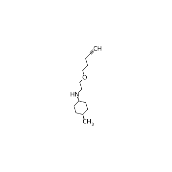 C#CCCCOCCN[C@H]1CC[C@@H](C)CC1